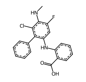 CNc1c(F)cc(Nc2ccccc2C(=O)O)c(-c2ccccc2)c1Cl